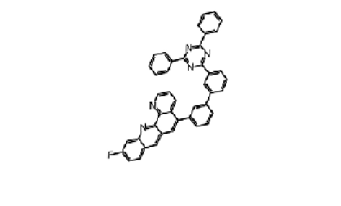 Fc1ccc2cc3cc(-c4cccc(-c5cccc(-c6nc(-c7ccccc7)nc(-c7ccccc7)n6)c5)c4)c4cccnc4c3nc2c1